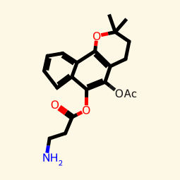 CC(=O)Oc1c2c(c3ccccc3c1OC(=O)CCN)OC(C)(C)CC2